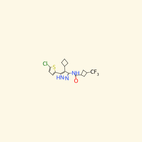 O=C(Nc1n[nH]c(-c2ccc(Cl)s2)c1C1CCC1)C1CC(C(F)(F)F)C1